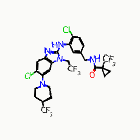 O=C(NCc1ccc(Cl)c(Nc2nc3cc(Cl)c(N4CCC(C(F)(F)F)CC4)cc3n2CC(F)(F)F)c1)C1(C(F)(F)F)CC1